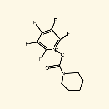 O=C(O[n+]1c(F)c(F)c(F)c(F)c1F)N1CCCCC1